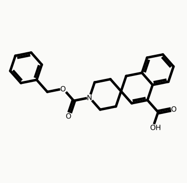 O=C(O)C1=CC2(CCN(C(=O)OCc3ccccc3)CC2)Cc2ccccc21